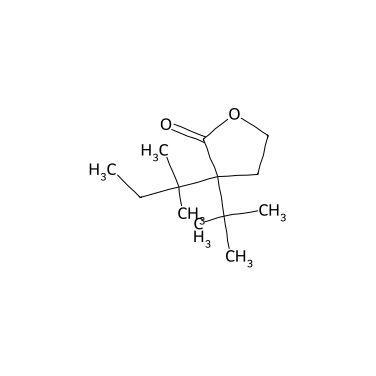 CCC(C)(C)C1(C(C)(C)C)CCOC1=O